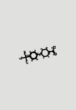 O=C(Cl)N1CCN(c2ccc(C(F)(F)F)cc2)CC1